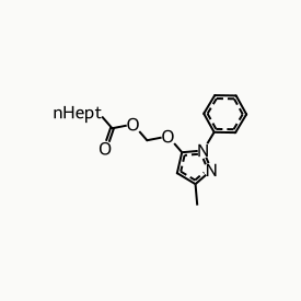 CCCCCCCC(=O)OCOc1cc(C)nn1-c1ccccc1